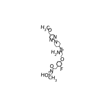 COCc1cnc(N2CCC([C@H]3C[C@@]3(N)CCOc3ccc(CC(=O)N4CC(C)(O)C4)c(F)c3)CC2)nc1